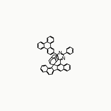 c1ccc(-c2nc(-c3ccc4c5ccccc5c5ccccc5c4c3)nc(-c3c4c(cc5ccccc35)-c3ccc5ccccc5c3C43C4CC5CC(C4)CC3C5)n2)cc1